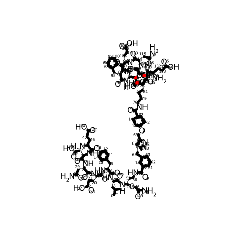 CC(C)C[C@H](NC(=O)[C@H](Cc1ccccc1)NC(=O)[C@H](CCC(=O)O)NC(=O)[C@H](CC(N)=O)NC(=O)[C@H](CC(=O)O)NC(=O)[C@@H](N)CCC(=O)O)C(=O)N[C@H](CCNC(=O)c1cccc(Cn2cc(COc3ccc(C(=O)NCCCC[C@H](NC(=O)[C@H](CC(C)C)NC(=O)[C@H](Cc4ccccc4)NC(=O)[C@H](CCC(=O)O)NC(=O)[C@H](CC(N)=O)NC(=O)[C@H](CC(=O)O)NC(=O)[C@@H](N)CCC(=O)O)C(N)=O)cc3)nn2)c1)CCC(N)=O